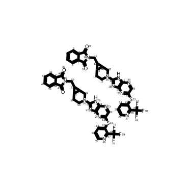 O=C1c2ccccc2C(=O)N1CC1C2CCN(c3nc4nc(Sc5cccnc5C(F)(F)F)cnc4[nH]3)CC21.O=C1c2ccccc2C(=O)N1CC1C2CCN(c3nc4nc(Sc5cccnc5C(F)(F)F)cnc4[nH]3)CC21